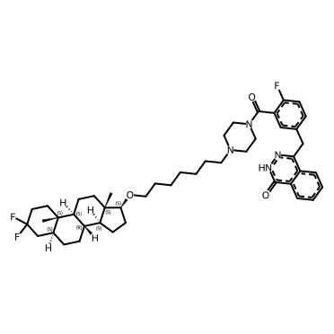 C[C@]12CCC(F)(F)C[C@@H]1CC[C@@H]1[C@@H]2CC[C@]2(C)[C@@H](OCCCCCCCN3CCN(C(=O)c4cc(Cc5n[nH]c(=O)c6ccccc56)ccc4F)CC3)CC[C@@H]12